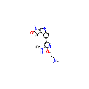 CC(C)Nc1cc(-c2ccc3ncc4c(c3c2)C2(CC2)C(=O)N4C)cnc1OCCCN(C)C